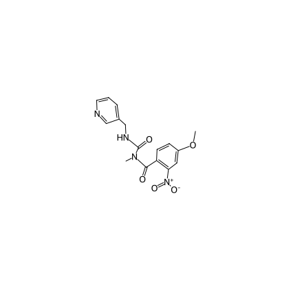 COc1ccc(C(=O)N(C)C(=O)NCc2cccnc2)c([N+](=O)[O-])c1